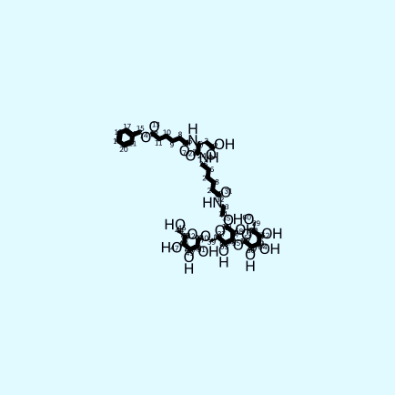 O=C(O)C[C@H](NC(=O)CCCCC(=O)OCc1ccccc1)C(=O)NCCCCCC(=O)NCCO[C@H]1O[C@H](CO[C@H]2O[C@H](CO)[C@@H](O)[C@H](O)[C@@H]2O)[C@@H](O)[C@H](O[C@H]2O[C@H](CO)[C@@H](O)[C@H](O)[C@@H]2O)[C@@H]1O